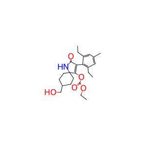 CCOC(=O)OC1=C(c2c(CC)cc(C)cc2CC)C(=O)NC12CCC(CO)CC2